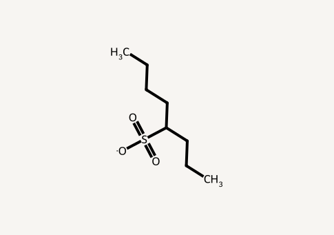 CCCCC(CCC)S([O])(=O)=O